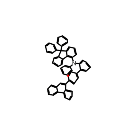 c1ccc(N(c2ccccc2-c2ccc(-c3cc4ccccc4c4ccccc34)cc2)c2cccc3c2-c2ccccc2C3(c2ccccc2)c2ccccc2)cc1